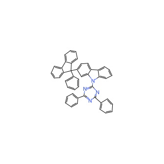 c1ccc(-c2nc(-c3ccccc3)nc(-n3c4ccccc4c4ccc(C5(c6ccccc6)c6ccccc6-c6ccccc65)cc43)n2)cc1